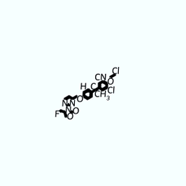 CC(C)(c1ccc(OCc2ccnc(N3C(=O)OCC3CF)n2)cc1)c1cc(Cl)c(OCCCl)c(C#N)c1